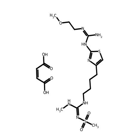 CN/C(=N/S(C)(=O)=O)NCCCCc1csc(N/C(N)=N\CCOC)n1.O=C(O)/C=C\C(=O)O